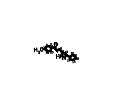 Cc1ccc(C(=O)/C=C/c2cc(-c3ccccc3)n[nH]2)cc1